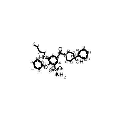 CCCCNc1cc(C(=O)N2CCC(O)(c3ccccc3)CC2)cc(S(N)(=O)=O)c1Oc1ccccc1